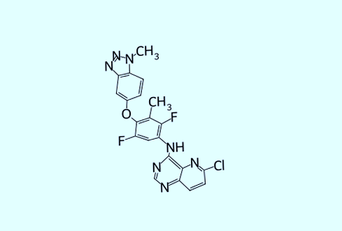 Cc1c(F)c(Nc2ncnc3ccc(Cl)nc23)cc(F)c1Oc1ccc2c(c1)nnn2C